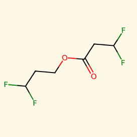 O=C(CC(F)F)OCCC(F)F